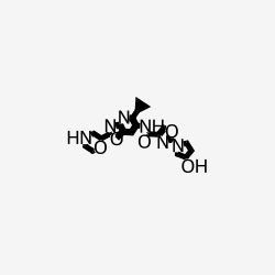 O=C(Nc1cc2oc(C3CNCCO3)nc2nc1C1CC1)c1coc(N2CCC(O)C2)n1